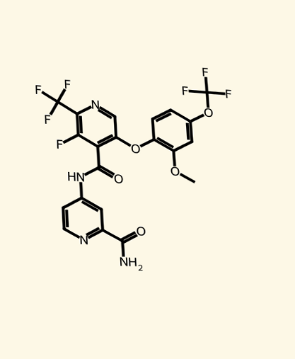 COc1cc(OC(F)(F)F)ccc1Oc1cnc(C(F)(F)F)c(F)c1C(=O)Nc1ccnc(C(N)=O)c1